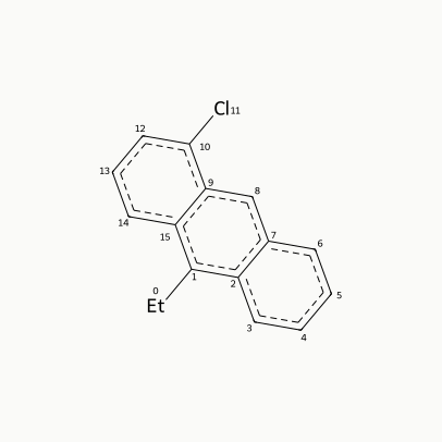 CCc1c2ccccc2cc2c(Cl)cccc12